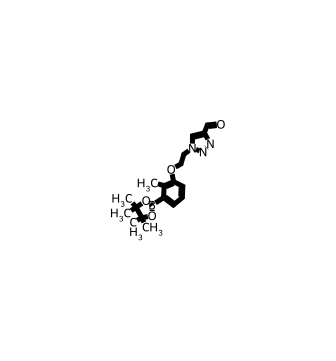 Cc1c(OCCn2cc(C=O)nn2)cccc1B1OC(C)(C)C(C)(C)O1